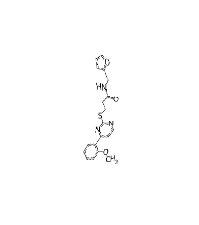 COc1ccccc1-c1ccnc(SCCC(=O)NCc2ccco2)n1